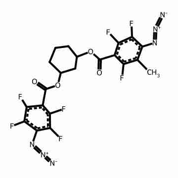 Cc1c(F)c(C(=O)OC2CCCC(OC(=O)c3c(F)c(F)c(N=[N+]=[N-])c(F)c3F)C2)c(F)c(F)c1N=[N+]=[N-]